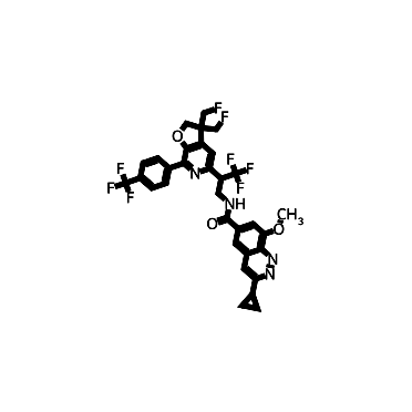 COc1cc(C(=O)NCC(c2cc3c(c(-c4ccc(C(F)(F)F)cc4)n2)OCC3(CF)CF)C(F)(F)F)cc2cc(C3CC3)nnc12